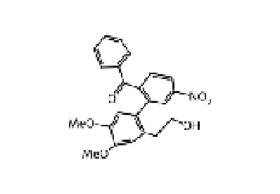 COc1cc(CCO)c(-c2cc([N+](=O)[O-])ccc2C(=O)c2ccccc2)cc1OC